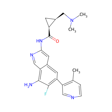 Cc1ccncc1-c1cc2cc(NC(=O)[C@H]3C[C@H]3CN(C)C)ncc2c(N)c1F